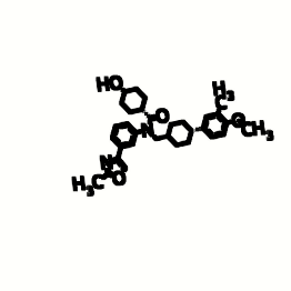 COc1ccc([C@H]2CC[C@H](CN(c3cccc(-c4coc(C)n4)c3)C(=O)[C@H]3CC[C@H](O)CC3)CC2)cc1C